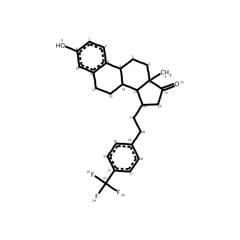 CC12CCC3c4ccc(O)cc4CCC3C1C(CCc1ccc(C(F)(F)F)cc1)CC2=O